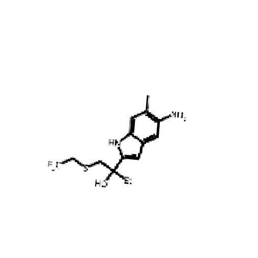 CCC(O)(CSCC(F)(F)F)c1cc2cc([N+](=O)[O-])c(C)cc2[nH]1